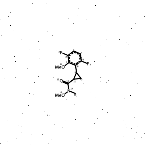 COc1c(F)ccc(F)c1C1CC1C(=O)N(C)OC